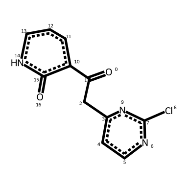 O=C(Cc1ccnc(Cl)n1)c1ccc[nH]c1=O